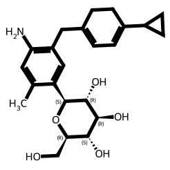 Cc1cc(N)c(CC2=CC=C(C3CC3)CC2)cc1[C@@H]1O[C@H](CO)[C@@H](O)[C@H](O)[C@H]1O